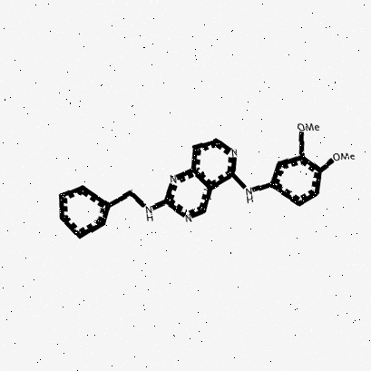 COc1ccc(Nc2nccc3nc(NCc4ccccc4)ncc23)cc1OC